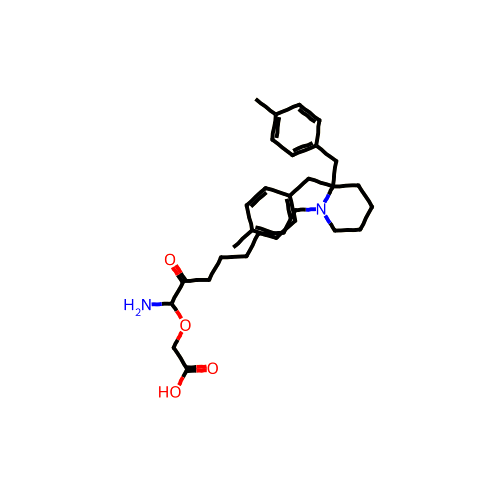 Cc1ccc(CC2(Cc3ccc(C)cc3)CCCCN2CCCCCCC(=O)C(N)OCC(=O)O)cc1